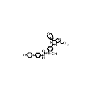 Cl.O=C(Nc1ccc(-c2nc(N3C4CCC3COC4)c3cnn(CC(F)(F)F)c3n2)cc1)Nc1ccc(N2CCNCC2)cc1